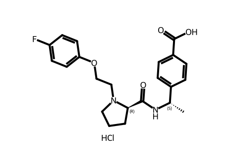 C[C@H](NC(=O)[C@H]1CCCN1CCOc1ccc(F)cc1)c1ccc(C(=O)O)cc1.Cl